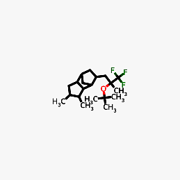 CC1CC2C3CC(CC(C)(OC(C)(C)C)C(F)(F)F)C(C3)C2C1C